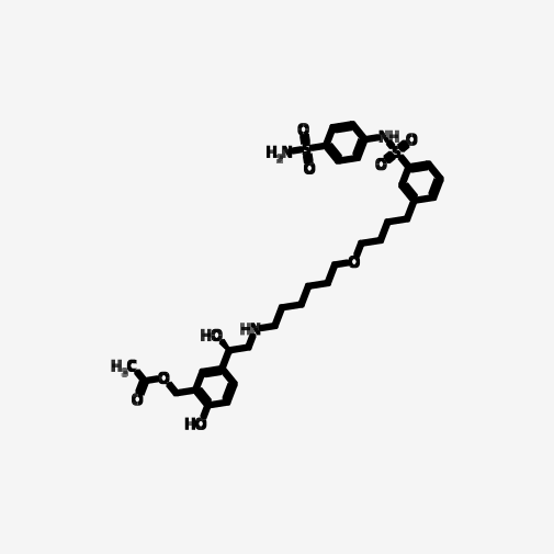 CC(=O)OCc1cc([C@@H](O)CNCCCCCCOCCCCc2cccc(S(=O)(=O)Nc3ccc(S(N)(=O)=O)cc3)c2)ccc1O